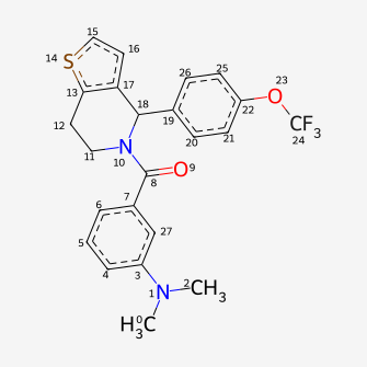 CN(C)c1cccc(C(=O)N2CCc3sccc3C2c2ccc(OC(F)(F)F)cc2)c1